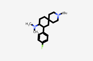 CN(C)C1CCC2(CCN(C(C)(C)C)CC2)CC1c1ccc(F)cc1